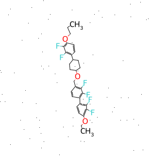 CCCOc1ccc(C2CCC(OCc3ccc(-c4ccc(OCC)c(F)c4F)c(F)c3F)CC2)c(F)c1F